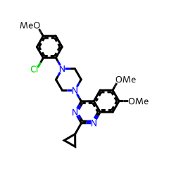 COc1ccc(N2CCN(c3nc(C4CC4)nc4cc(OC)c(OC)cc34)CC2)c(Cl)c1